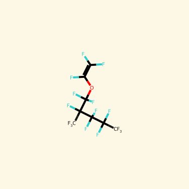 FC(F)=C(F)OC(F)(F)C(F)(C(F)(F)F)C(F)(F)C(F)(F)C(F)(F)F